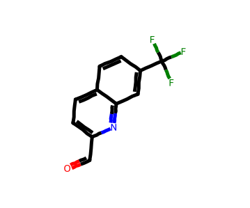 O=Cc1ccc2ccc(C(F)(F)F)cc2n1